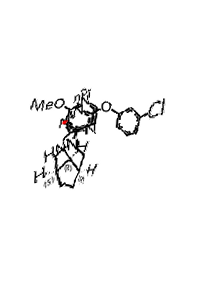 CCCn1nc(N[C@H]2[C@@H]3CC[C@H]2CN(c2ccnc(OC)c2)C3)nc1Oc1cccc(Cl)c1